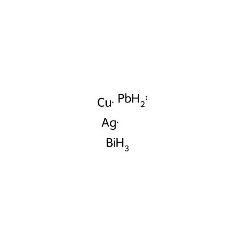 [Ag].[BiH3].[Cu].[PbH2]